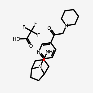 NC1CC2CCC(C1)N2c1ccc(C(=O)CN2CCCCC2)cn1.O=C(O)C(F)(F)F